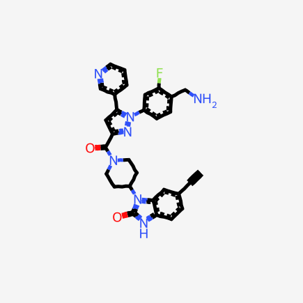 C#Cc1ccc2[nH]c(=O)n(C3CCN(C(=O)c4cc(-c5cccnc5)n(-c5ccc(CN)c(F)c5)n4)CC3)c2c1